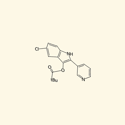 CC(C)(C)C(=O)Oc1c(-c2cccnc2)[nH]c2ccc(Cl)cc12